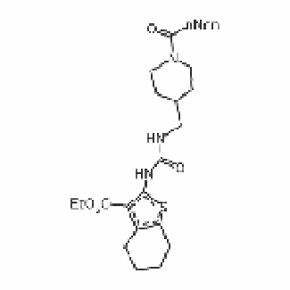 CCCCCCCCCC(=O)N1CCC(CNC(=O)Nc2sc3c(c2C(=O)OCC)CCCC3)CC1